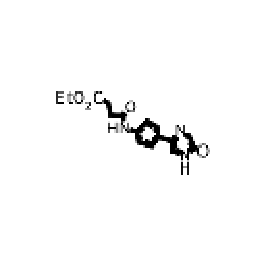 CCOC(=O)CCC(=O)Nc1ccc(-c2c[nH]c(=O)cn2)cc1